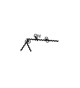 CCCCCCCCCOC(=O)CCCCCCCN(CCO)CCCCCCC(C)C(=O)OC(CCCCCCCC)CCCCCCCC